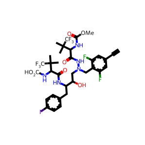 C#Cc1cc(F)c(CN(CC(O)C(Cc2ccc(I)cc2)NC(=O)C(NC(=O)O)C(C)(C)C(F)(F)F)NC(=O)C(NC(=O)OC)C(C)(C)C(F)(F)F)c(F)c1